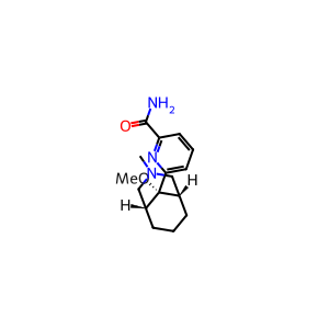 CO[C@@]1(c2cccc(C(N)=O)n2)[C@@H]2CCC[C@H]1CN(C)C2